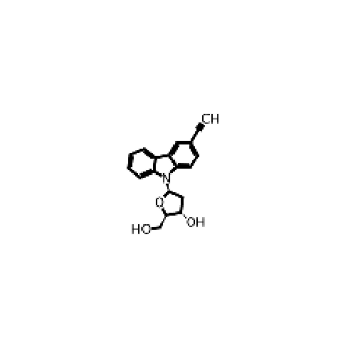 C#Cc1ccc2c(c1)c1ccccc1n2[C@H]1C[C@H](O)[C@@H](CO)O1